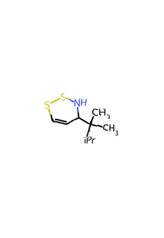 CC(C)C(C)(C)C1C=CSSN1